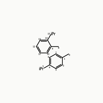 Cc1ccc(C(C)C)cc1.Cc1ccccc1C(C)C